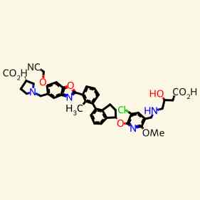 COc1nc(O[C@H]2CCc3c(-c4cccc(-c5nc6cc(CN7CC[C@H](C(=O)O)C7)c(OCC#N)cc6o5)c4C)cccc32)c(Cl)cc1CNCC(O)CC(=O)O